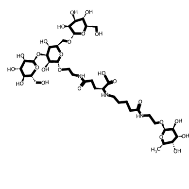 C[C@@H]1O[C@@H](OCCNC(=O)CCCCN[C@@H](CCC(=O)NCCO[C@H]2O[C@H](CO[C@H]3O[C@H](CO)[C@@H](O)[C@H](O)[C@@H]3O)[C@@H](O)[C@H](O[C@H]3O[C@H](CO)[C@@H](O)[C@H](O)[C@@H]3O)[C@@H]2O)C(=O)O)[C@@H](O)[C@H](O)[C@@H]1O